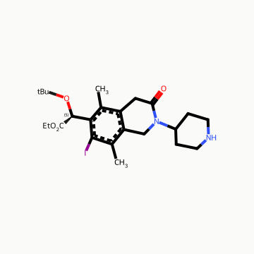 CCOC(=O)[C@@H](OC(C)(C)C)c1c(C)c2c(c(C)c1I)CN(C1CCNCC1)C(=O)C2